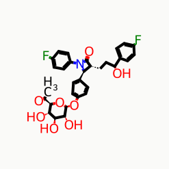 CC(=O)[C@H]1O[C@@H](Oc2ccc([C@@H]3[C@@H](CC[C@H](O)c4ccc(F)cc4)C(=O)N3c3ccc(F)cc3)cc2)[C@H](O)[C@@H](O)[C@@H]1O